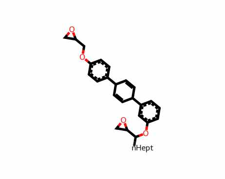 CCCCCCCC(Oc1cccc(C2C=CC(c3ccc(OCC4CO4)cc3)C=C2)c1)C1CO1